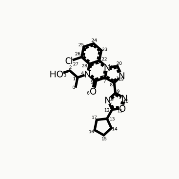 CC(CO)n1c(=O)c2c(-c3noc(C4CCCC4)n3)ncn2c2cccc(Cl)c21